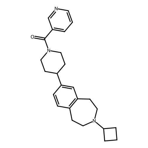 O=C(c1cccnc1)N1CCC(c2ccc3c(c2)CCN(C2CCC2)CC3)CC1